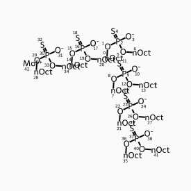 CCCCCCCCOP([O-])(=S)OCCCCCCCC.CCCCCCCCOP([O-])(=S)OCCCCCCCC.CCCCCCCCOP([O-])(=S)OCCCCCCCC.CCCCCCCCOP([O-])(=S)OCCCCCCCC.CCCCCCCCOP([O-])(=S)OCCCCCCCC.CCCCCCCCOP([O-])(=S)OCCCCCCCC.[Mo+6]